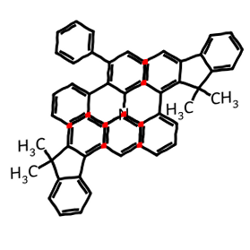 CC1(C)c2ccccc2-c2cc(N(c3ccccc3-c3cccc4c3C(C)(C)c3ccccc3-4)c3cccc(-c4ccccc4)c3-c3ccccc3-c3ccccc3)ccc21